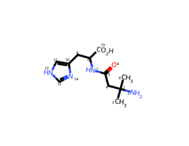 CC(C)(N)CC(=O)NC(Cc1c[nH]cn1)C(=O)O